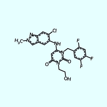 Cn1cc2cc(Nc3cc(=O)n(CCO)c(=O)n3Cc3cc(F)c(F)cc3F)c(Cl)cc2n1